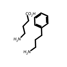 NCCCC(=O)O.NCCCc1ccccc1